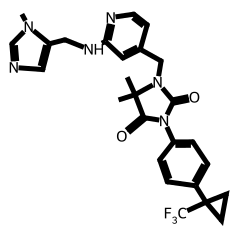 Cn1cncc1CNc1cc(CN2C(=O)N(c3ccc(C4(C(F)(F)F)CC4)cc3)C(=O)C2(C)C)ccn1